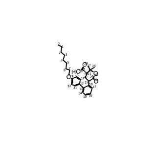 CCCCCCCCOc1ccc(-c2ccccc2C2C[C@@H](C(=O)O)C(C)(C)OC2=O)cc1